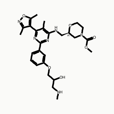 CNCC(O)COc1cccc(-c2nc(NC[C@@H]3CN(C(=O)OC)CCO3)c(C)c(-c3c(C)noc3C)n2)c1